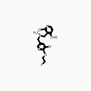 CN(Cc1cnc(OCCF)c(Cl)c1)Cc1c(C=O)ccnc1Cl